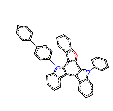 c1ccc(-c2ccc(-n3c4ccccc4c4c5c6ccccc6n(-c6ccccc6)c5c5oc6ccccc6c5c43)cc2)cc1